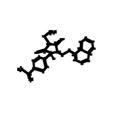 C[C@]1(c2ccc(C(=N)N)cc2)C(=O)N(CC(=O)O)C(=O)N1CCc1cccc2ccccc12